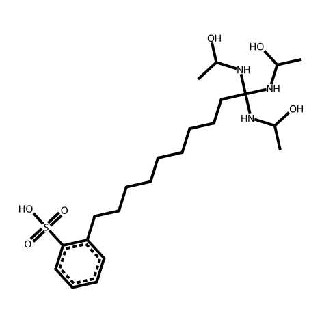 CC(O)NC(CCCCCCCCCc1ccccc1S(=O)(=O)O)(NC(C)O)NC(C)O